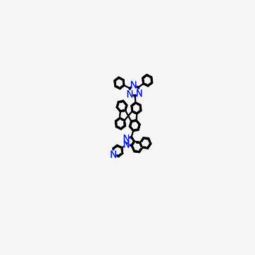 c1ccc(-c2nc(-c3ccccc3)nc(-c3ccc4c(c3)C3(c5ccccc5-c5ccccc53)c3cc(-c5nn(-c6ccncc6)c6ccc7ccccc7c56)ccc3-4)n2)cc1